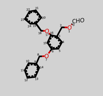 O=COCc1ccc(OCc2ccccc2)cc1OCc1ccccc1